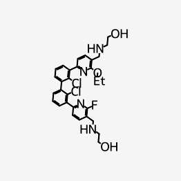 CCOc1nc(-c2cccc(-c3cccc(-c4ccc(CNCCO)c(F)n4)c3Cl)c2Cl)ccc1CNCCO